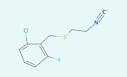 [C-]#[N+]CCSCc1c(F)cccc1Cl